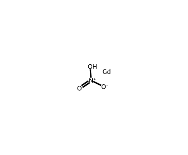 O=[N+]([O-])O.[Gd]